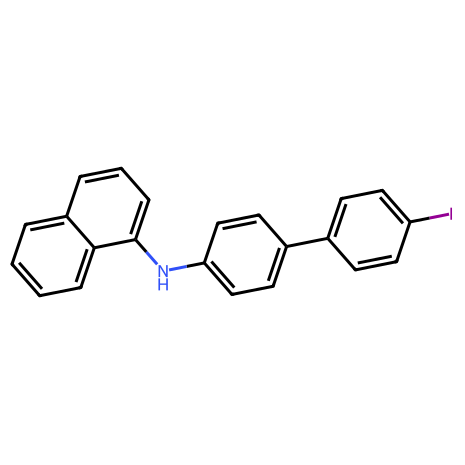 Ic1ccc(-c2ccc(Nc3cccc4ccccc34)cc2)cc1